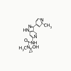 Cc1cc(-c2n[nH]c3cc(NC(=O)N(C)C4(O)CC4)ncc23)ccn1